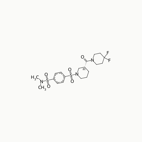 CN(C)S(=O)(=O)c1ccc(S(=O)(=O)N2CCC[C@@H](C(=O)N3CCC(F)(F)CC3)C2)cc1